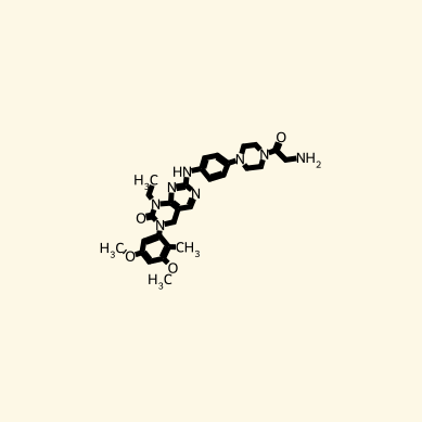 CCN1C(=O)N(c2cc(OC)cc(OC)c2C)Cc2cnc(Nc3ccc(N4CCN(C(=O)CN)CC4)cc3)nc21